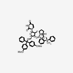 COc1ccc(C(OC[C@H]2O[C@@H](n3ccc(=O)[nH]c3=O)C(F)[C@H]2O[P@]2O[C@@H](C[Si](C)(c3ccccc3)c3ccccc3)[C@H]3CCCN32)(c2ccccc2)c2ccc(OC)cc2)cc1